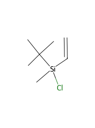 C=C[Si](C)(Cl)C(C)(C)C